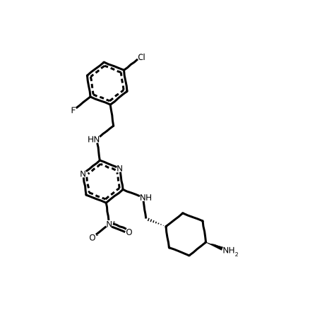 N[C@H]1CC[C@H](CNc2nc(NCc3cc(Cl)ccc3F)ncc2[N+](=O)[O-])CC1